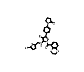 O=C1CCCN1c1ccc(-c2nn(C(=O)c3cccc4c3OCCO4)c(NCc3ccc(Cl)s3)c2F)cc1